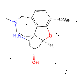 COc1ccc2c3c1O[C@H]1C[C@@H](O)C=C(N)[C@@]31CCN(C)C2